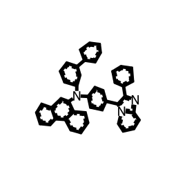 c1ccc(-c2cccc(N(c3ccc(-c4c(-c5ccccc5)nc5ccccn45)cc3)c3cc4ccccc4c4ccccc34)c2)cc1